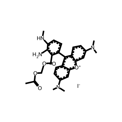 CNc1ccc(-c2c3ccc(N(C)C)cc3[o+]c3cc(N(C)C)ccc23)c(C(=O)OCOC(C)=O)c1N.[I-]